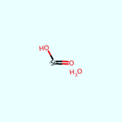 O.O=[Si]O